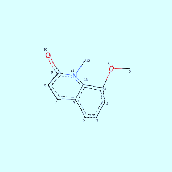 COc1c[c]cc2ccc(=O)n(C)c12